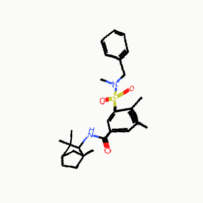 Cc1cc(C(=O)NC2C3(C)CCC(C3)C2(C)C)cc(S(=O)(=O)N(C)Cc2ccccc2)c1C